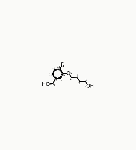 OCCCCOc1cc(CO)ccc1F